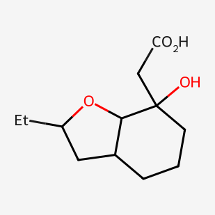 CCC1CC2CCCC(O)(CC(=O)O)C2O1